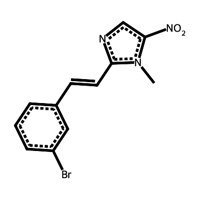 Cn1c([N+](=O)[O-])cnc1/C=C/c1cccc(Br)c1